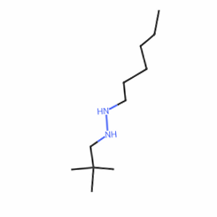 CCCCCCNNCC(C)(C)C